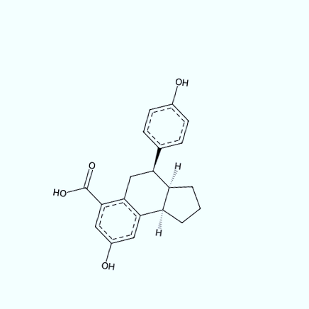 O=C(O)c1cc(O)cc2c1C[C@@H](c1ccc(O)cc1)[C@H]1CCC[C@@H]21